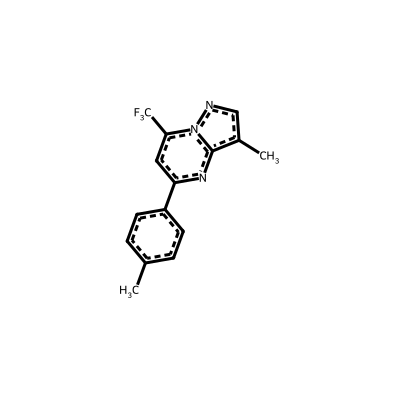 Cc1ccc(-c2cc(C(F)(F)F)n3ncc(C)c3n2)cc1